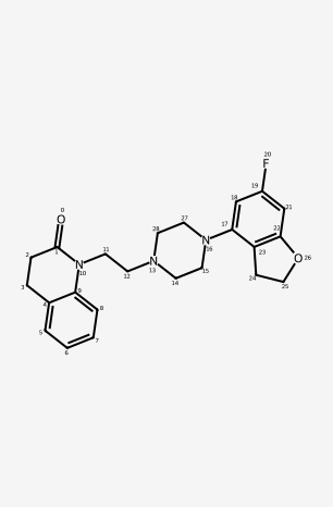 O=C1CCc2ccccc2N1CCN1CCN(c2cc(F)cc3c2CCO3)CC1